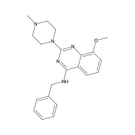 COc1cccc2c(NCc3ccccc3)nc(N3CCN(C)CC3)nc12